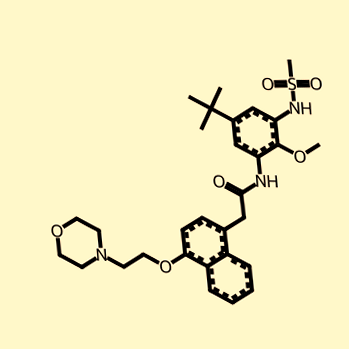 COc1c(NC(=O)Cc2ccc(OCCN3CCOCC3)c3ccccc23)cc(C(C)(C)C)cc1NS(C)(=O)=O